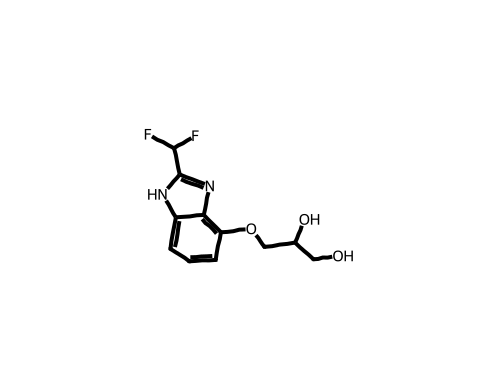 OCC(O)COc1cccc2[nH]c(C(F)F)nc12